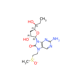 CC[C@H](O)[C@@H]1C[C@@H](O)[C@H](n2c(=O)n(CC[S+](C)[O-])c3cnc(N)nc32)O1